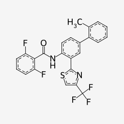 Cc1ccccc1-c1ccc(NC(=O)c2c(F)cccc2F)c(-c2nc(C(F)(F)F)cs2)c1